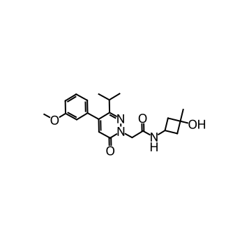 COc1cccc(-c2cc(=O)n(CC(=O)NC3CC(C)(O)C3)nc2C(C)C)c1